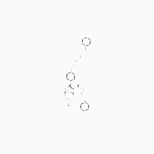 COc1cccc(CCN(C)C(=O)C2=C(c3ccc(OCCCOCc4ccccc4OC)cc3)C[C@@H]3CN(C(C)=O)C[C@H]2N3)c1